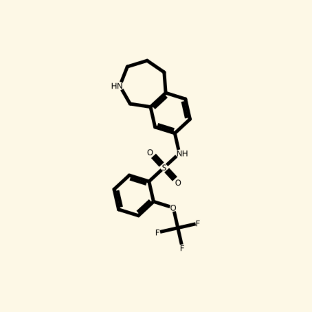 O=S(=O)(Nc1ccc2c(c1)CNCCC2)c1ccccc1OC(F)(F)F